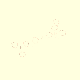 CC1(C)c2cc(/C=C/c3ccc(P(=O)(c4ccccc4)c4ccc5ccccc5c4)cc3)ccc2-c2ccc(B(c3ccccc3)c3ccccc3)cc21